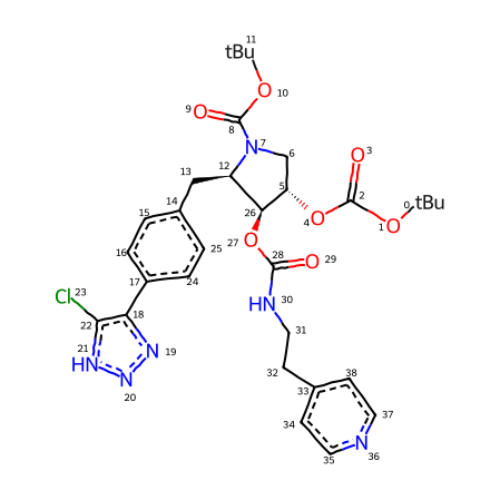 CC(C)(C)OC(=O)O[C@H]1CN(C(=O)OC(C)(C)C)[C@H](Cc2ccc(-c3nn[nH]c3Cl)cc2)[C@@H]1OC(=O)NCCc1ccncc1